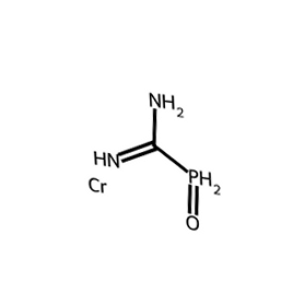 N=C(N)[PH2]=O.[Cr]